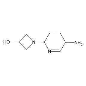 NC1C=NC(N2CC(O)C2)CC1